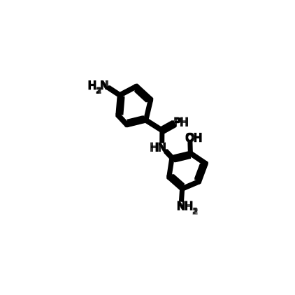 Nc1ccc(C(=P)Nc2cc(N)ccc2O)cc1